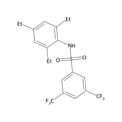 CCc1cc(CC)c(NS(=O)(=O)c2cc(C(F)(F)F)cc(C(F)(F)F)c2)c(CC)c1